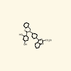 CCOC(=O)c1nc(-c2ccc(N(Cc3ccccc3)C(=O)c3ccc(O)cc3O)cc2)c2ccccc2n1